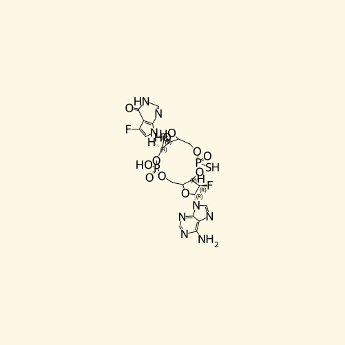 Nc1ncnc2c1ncn2[C@@H]1OC2COP(=O)(O)O[C@@H]3[C@H](O)C(COP(=O)(S)O[C@H]2[C@H]1F)O[C@H]3n1cc(F)c2c(=O)[nH]cnc21